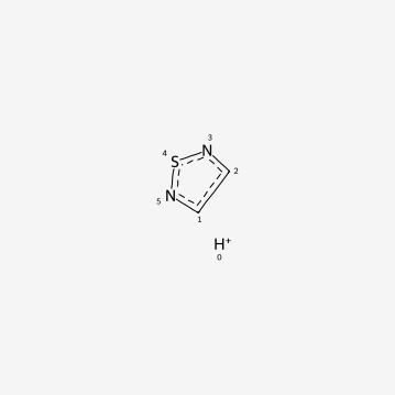 [H+].c1cnsn1